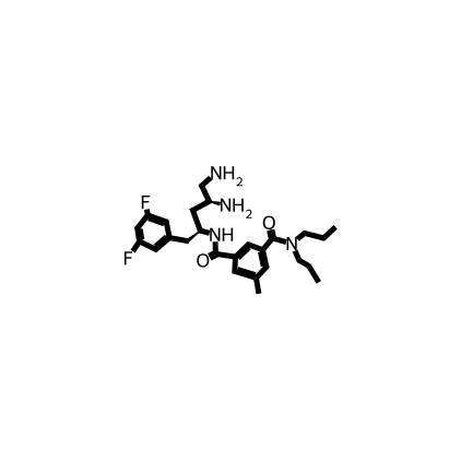 CCCN(CCC)C(=O)c1cc(C)cc(C(=O)N[C@@H](Cc2cc(F)cc(F)c2)C[C@H](N)CN)c1